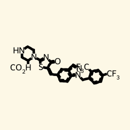 O=C1N=C(N2CCNCC2C(=O)O)SC1=Cc1ccc2c(cnn2Cc2ccc(C(F)(F)F)cc2C(F)(F)F)c1